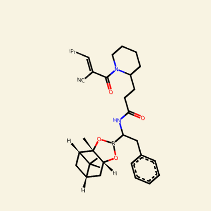 CC(C)C=C(C#N)C(=O)N1CCCCC1CCC(=O)NC(Cc1ccccc1)B1O[C@@H]2C[C@@H]3C[C@@H](C3(C)C)[C@]2(C)O1